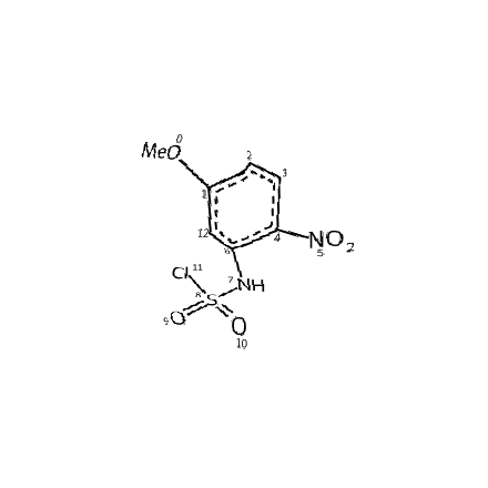 COc1ccc([N+](=O)[O-])c(NS(=O)(=O)Cl)c1